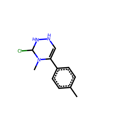 Cc1ccc(C2=CNNC(Cl)N2C)cc1